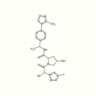 Cc1nocc1-c1ccc(C(C)NC(=O)C2CC(O)CN2C(=O)C(C(C)C)n2cc(I)cn2)cc1